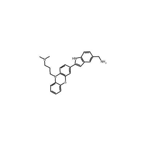 CN(C)CCCN1c2ccccc2Sc2cc(-c3cc4cc(CN)ccc4[nH]3)ccc21